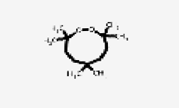 CC1(C)CCC(C)(C)OOC(C)(C)CC1